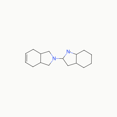 C1=CCC2CN(C3CC4CCCCC4[N]3)CC2C1